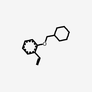 C=Cc1ccccc1OCC1CCCCC1